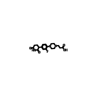 O=C(O)CCN1CCN(c2ccc(C3CCC(=O)NC3=O)cc2F)CC1